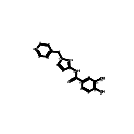 O=C(Nc1ccn(Cc2ccncc2)n1)c1ccc(O)c(O)c1